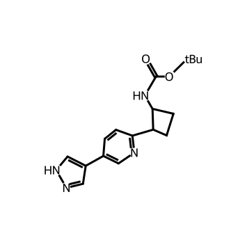 CC(C)(C)OC(=O)NC1CCC1c1ccc(-c2cn[nH]c2)cn1